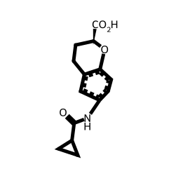 O=C(Nc1ccc2c(c1)CC[C@@H](C(=O)O)O2)C1CC1